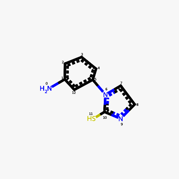 Nc1cccc(-n2ccnc2S)c1